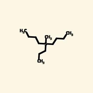 CCCCS(C)(CCC)CCCC